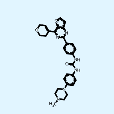 CN1CCN(c2ccc(NC(=O)Nc3ccc(-c4nc(C5=CCOCC5)c5sccc5n4)cc3)cc2)CC1